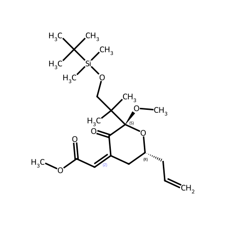 C=CC[C@@H]1C/C(=C/C(=O)OC)C(=O)[C@](OC)(C(C)(C)CO[Si](C)(C)C(C)(C)C)O1